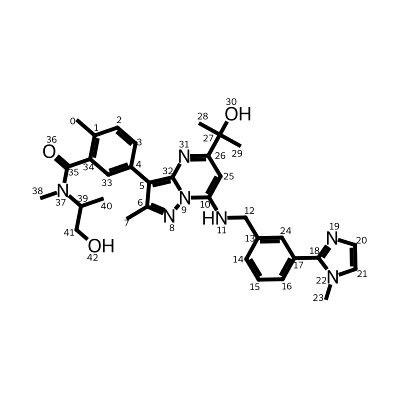 Cc1ccc(-c2c(C)nn3c(NCc4cccc(-c5nccn5C)c4)cc(C(C)(C)O)nc23)cc1C(=O)N(C)C(C)CO